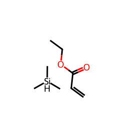 C=CC(=O)OCC.C[SiH](C)C